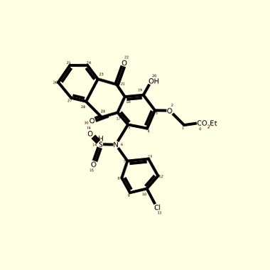 CCOC(=O)COc1cc(N(c2ccc(Cl)cc2)[SH](=O)=O)c2c(c1O)C(=O)c1ccccc1C2=O